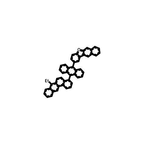 CCc1c2ccccc2cc2c1ccc1c(-c3c4ccccc4c(-c4ccc5oc6cc7ccccc7cc6c5c4)c4ccccc34)cccc12